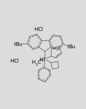 Cl.Cl.[CH2]=[Hf]([c]1ccccc1)([CH]1C=CC=C1)([CH]1CCC1)[CH]1c2cc(C(C)(C)C)ccc2-c2ccc(C(C)(C)C)cc21